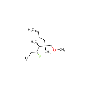 C=CCC[C@](C)(COC)[C@H](C)[C@@H](F)CC